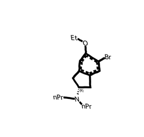 CCCN(CCC)[C@H]1Cc2cc(Br)c(OCC)cc2C1